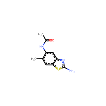 CC(=O)Nc1cc2nc(N)sc2cc1C